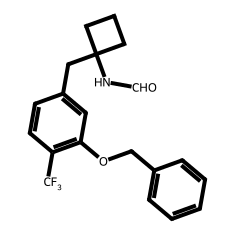 O=CNC1(Cc2ccc(C(F)(F)F)c(OCc3ccccc3)c2)CCC1